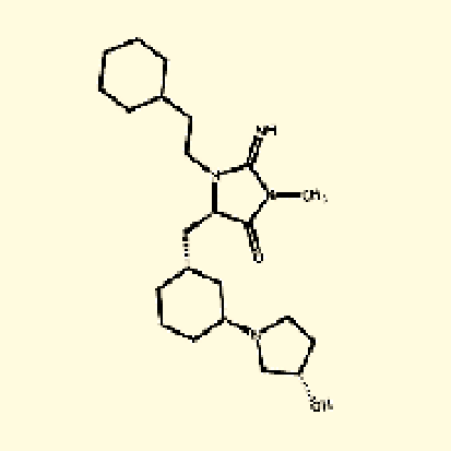 CN1C(=N)N(CCC2CCCCC2)[C@H](C[C@H]2CCC[C@H](N3CC[C@H](O)C3)C2)C1=O